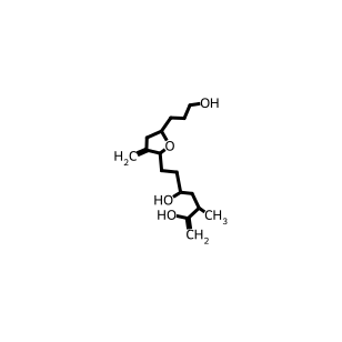 C=C(O)C(C)CC(O)CCC1OC(CCCO)CC1=C